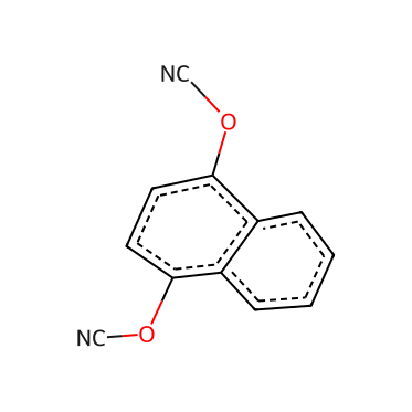 N#COc1ccc(OC#N)c2ccccc12